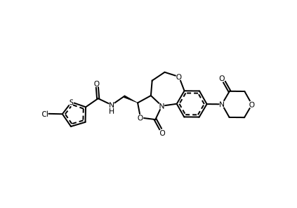 O=C(NC[C@@H]1OC(=O)N2c3ccc(N4CCOCC4=O)cc3OCCC12)c1ccc(Cl)s1